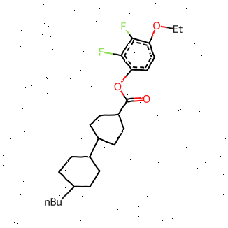 CCCCC1CCC(C2CCC(C(=O)Oc3ccc(OCC)c(F)c3F)CC2)CC1